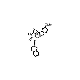 COc1ccc2c(c1)C(=O)N(C[C@@]1(C#Cc3ccc4ccccc4n3)NC(=O)NC1=O)C2